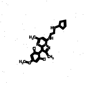 COc1cc(Cl)c(-c2c(C)nn3c(NCCNC4CC=CC4)cc(C)nc23)c(Cl)c1